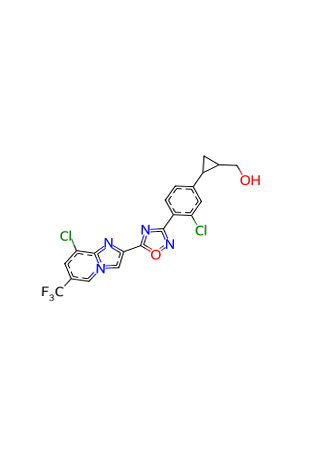 OCC1CC1c1ccc(-c2noc(-c3cn4cc(C(F)(F)F)cc(Cl)c4n3)n2)c(Cl)c1